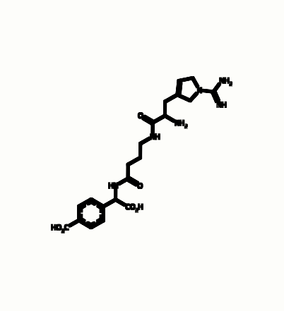 N=C(N)N1CC=C(CC(N)C(=O)NCCCC(=O)NC(C(=O)O)c2ccc(C(=O)O)cc2)C1